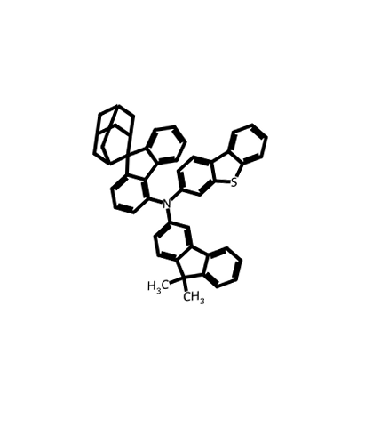 CC1(C)c2ccccc2-c2cc(N(c3ccc4c(c3)sc3ccccc34)c3cccc4c3-c3ccccc3C43C4CC5CC(C4)CC3C5)ccc21